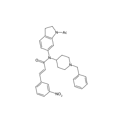 CC(=O)N1CCc2ccc(N(C(=O)C=Cc3cccc([N+](=O)[O-])c3)C3CCN(Cc4ccccc4)CC3)cc21